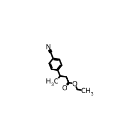 CCOC(=O)CC(C)c1ccc(C#N)cc1